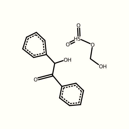 O=C(c1ccccc1)C(O)c1ccccc1.O=[SH](=O)OCO